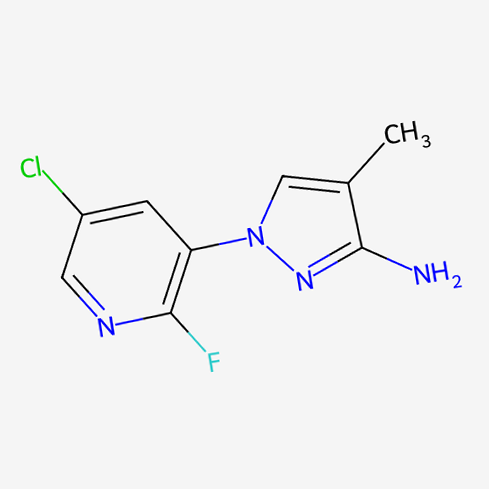 Cc1cn(-c2cc(Cl)cnc2F)nc1N